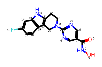 O=C(NO)c1cnc(N2CCc3[nH]c4cc(F)ccc4c3C2)nc1